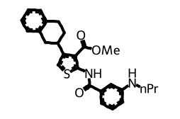 CCCNc1cccc(C(=O)Nc2scc(C3CCc4ccccc4C3)c2C(=O)OC)c1